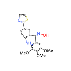 COc1cc(/C(=N\O)c2cc(-c3nccs3)ccc2N)cc(OC)c1OC